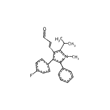 CC(C)c1c(/C=C/C=O)c(-c2ccc(F)cc2)c(-c2ccccc2)n1C